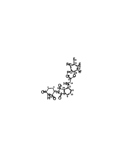 O=C1CCC(N2C(=O)c3cccc(NCC(=O)Oc4c(F)c(F)c(F)c(F)c4F)c3C2=O)C(=O)N1